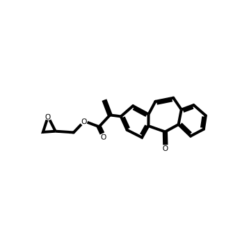 C=C(C(=O)OCC1CO1)c1ccc2c(=O)c3ccccc3ccc2c1